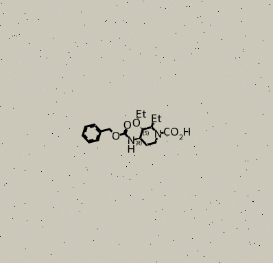 CCO[C@@H]1C(CC)N(C(=O)O)CC[C@H]1NC(=O)OCc1ccccc1